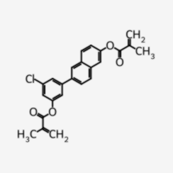 C=C(C)C(=O)Oc1cc(Cl)cc(-c2ccc3cc(OC(=O)C(=C)C)ccc3c2)c1